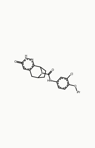 CC(C)Oc1ccc(NC(=O)N2C3CCC2c2n[nH]c(=O)cc2C3)cc1Cl